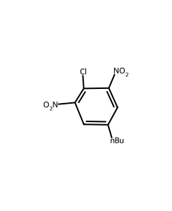 CCCCc1cc([N+](=O)[O-])c(Cl)c([N+](=O)[O-])c1